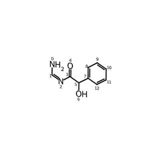 N/C=N\C(=O)C(O)c1ccccc1